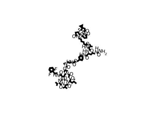 CC[C@H](C)C([C@@H](CC(=O)N1C[C@@H](OC(=O)N(C)CCNC(=O)OCc2ccc(NC(=O)C(CCCNC(N)=O)NC(=O)[C@@H](NC(=O)CCCCCN3C(=O)CC(SCC4(CC(=O)ON5C(=O)CCC5=O)CC4)C3=O)C(C)C)cc2)C[C@H]1[C@H](OC)[C@@H](C)C(=O)NCCc1c(F)cccc1F)OC)N(C)C(=O)[C@@H](NC(=O)[C@H](C(C)C)N(C)C)C(C)C